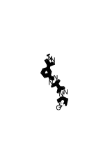 Cn1cc(-c2cccc(-c3ncc(-c4cnn(C5CC[S+]([O-])C5)c4)cn3)c2)cn1